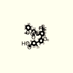 COc1ccc(-c2ccc(C(=O)O)cc2C)cc1-c1ccc(C(F)(F)F)cc1CN1CC[C@@H](c2ccccc2OC)OC1=O